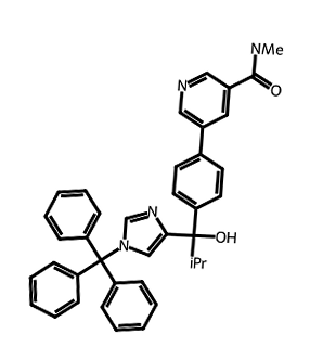 CNC(=O)c1cncc(-c2ccc(C(O)(c3cn(C(c4ccccc4)(c4ccccc4)c4ccccc4)cn3)C(C)C)cc2)c1